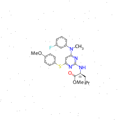 COC(=O)[C@H](CC(C)C)Nc1nc(Sc2ccc(OC)cc2)cc(N(C)c2cccc(F)c2)n1